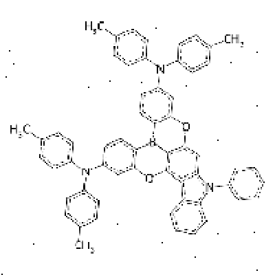 Cc1ccc(N(c2ccc(C)cc2)c2ccc3c(c2)Oc2cc4c(c5c2B3c2ccc(N(c3ccc(C)cc3)c3ccc(C)cc3)cc2O5)c2ccccc2n4-c2ccccc2)cc1